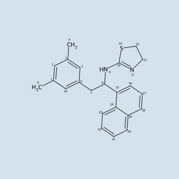 Cc1cc(C)cc(CC(NC2=NCCS2)c2cccc3ccccc23)c1